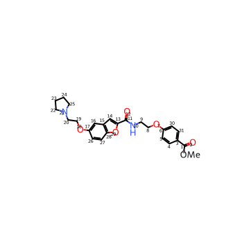 COC(=O)c1ccc(OCCNC(=O)c2cc3cc(OCCN4CCCC4)ccc3o2)cc1